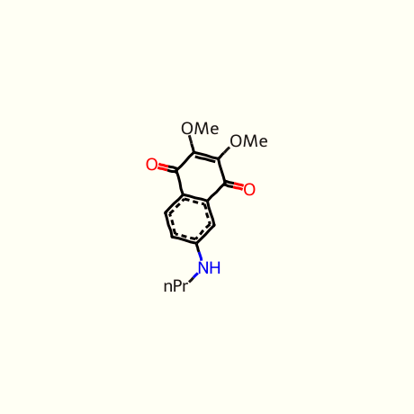 CCCNc1ccc2c(c1)C(=O)C(OC)=C(OC)C2=O